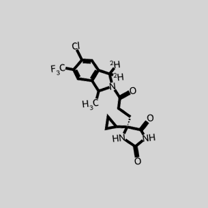 [2H]C1([2H])c2cc(Cl)c(C(F)(F)F)cc2C(C)N1C(=O)CC[C@@]1(C2CC2)NC(=O)NC1=O